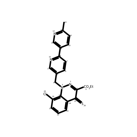 CCOC(=O)c1nn(Cc2ccc(-c3ccc(C)nc3)nc2)c2c(Cl)cccc2c1=S